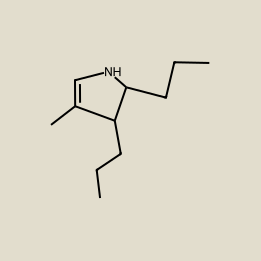 CCCC1NC=C(C)C1CCC